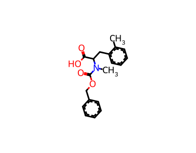 Cc1ccccc1CC(C(=O)O)N(C)C(=O)OCc1ccccc1